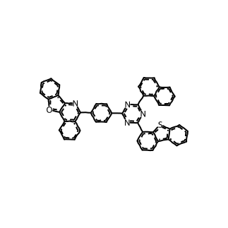 c1ccc2c(-c3nc(-c4ccc(-c5nc6c7ccccc7oc6c6ccccc56)cc4)nc(-c4cccc5c4sc4ccccc45)n3)cccc2c1